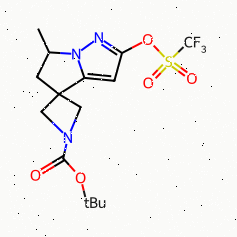 CC1CC2(CN(C(=O)OC(C)(C)C)C2)c2cc(OS(=O)(=O)C(F)(F)F)nn21